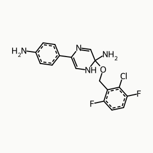 Nc1ccc(C2=CNC(N)(OCc3c(F)ccc(F)c3Cl)C=N2)cc1